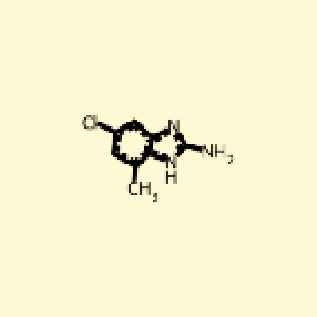 Cc1cc(Cl)cc2nc(N)[nH]c12